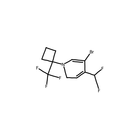 FC(F)C1=CCN(C2(C(F)(F)F)CCC2)C=C1Br